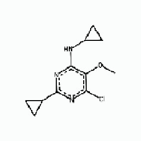 COc1c(Cl)nc(C2CC2)nc1NC1CC1